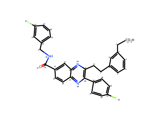 O=C(O)Cc1cccc(CCc2nc3cc(C(=O)NCc4cccc(F)c4)ccc3nc2-c2ccc(F)cc2)c1